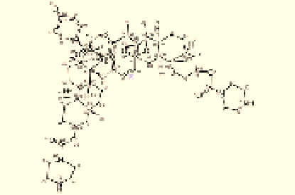 C[C@]12CC[C@H](OC(=O)N3CCNCC3)C[C@H]1CC[C@@H]1[C@@H]2CC[C@]2(C)[C@@H](c3ccc(=O)oc3)CC[C@]12OC(=O)/C=C\C(=O)O[C@]12CC[C@H](c3ccc(=O)oc3)[C@@]1(C)CC[C@H]1[C@H]2CC[C@@H]2C[C@@H](OC(=O)N3CCNCC3)CC[C@@]21C